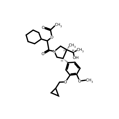 COc1ccc([C@@H]2CN(C(=O)C(OC(C)=O)C3CCCCC3)C[C@@]2(C)[C@@H](C)O)cc1OCC1CC1